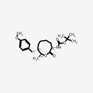 COc1ccc(C[C@@H]2CCCC[C@H](NC(=O)OC(C)(C)C)C(=O)O[C@H]2C)cc1